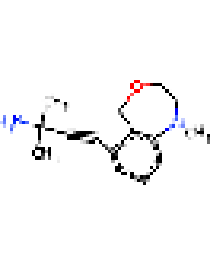 CN1CCOCc2c(C#CC(C)(C)N)cccc21